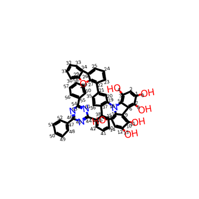 Oc1cc(O)c2c(c1O)c1c(O)c(O)cc(O)c1n2-c1cc(-c2cccc3c2oc2ccccc23)ccc1-c1ccccc1-c1nc(-c2ccccc2)nc(-c2ccccc2)n1